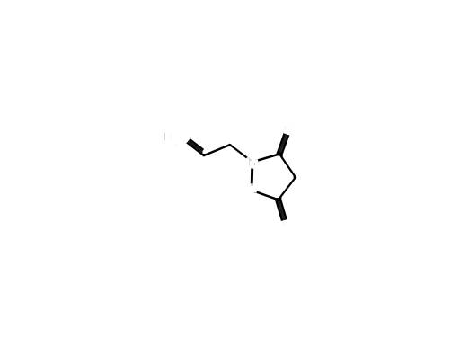 C=CCN1SC(=S)CC1=O